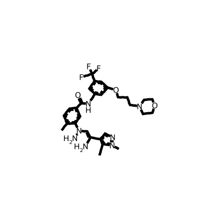 Cc1ccc(C(=O)Nc2cc(OCCCN3CCOCC3)cc(C(F)(F)F)c2)cc1N(N)/C=C(\N)c1cnn(C)c1C